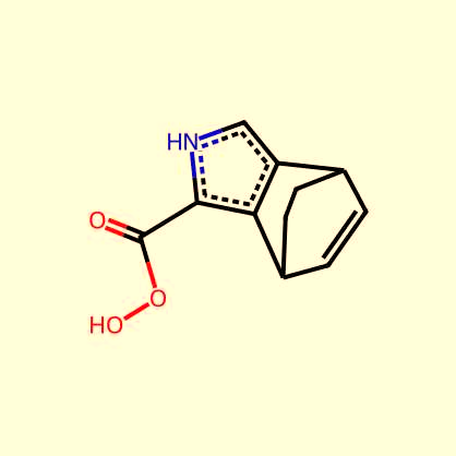 O=C(OO)c1[nH]cc2c1C1C=CC2CC1